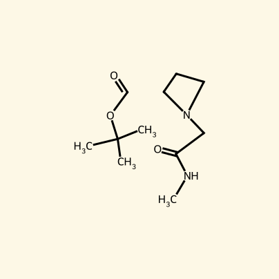 CC(C)(C)OC=O.CNC(=O)CN1CCC1